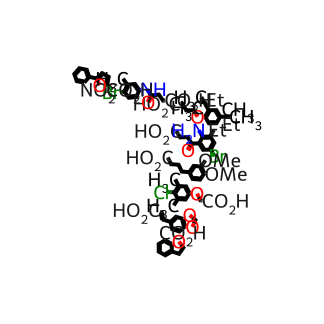 CCC(C)(C)c1ccc(OCCCC(=O)O)c(C(C)(C)CC)c1.CCc1cc(Br)cc(C(=O)CCC(=O)O)c1N.COc1ccc(CCCC(=O)O)cc1OC.Cc1cc(NC(=O)CCC(=O)O)ccc1Br.Cc1cc(OCC(=O)O)cc(C)c1Cl.O=C(O)C=Cc1ccc2c(c1)OCO2.O=C(O)c1ccc(-c2ccccc2[N+](=O)[O-])o1.O=C(O)c1cccc2c1OCC2